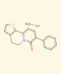 CO.O=c1c(-c2ccccc2)ccc2n1CCc1ccsc1-2